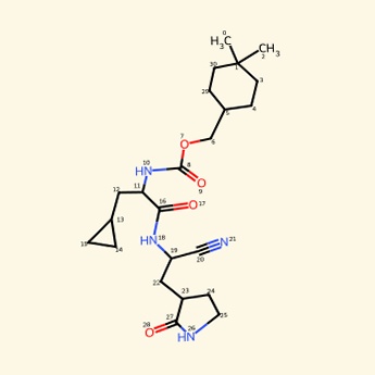 CC1(C)CCC(COC(=O)NC(CC2CC2)C(=O)NC(C#N)CC2CCNC2=O)CC1